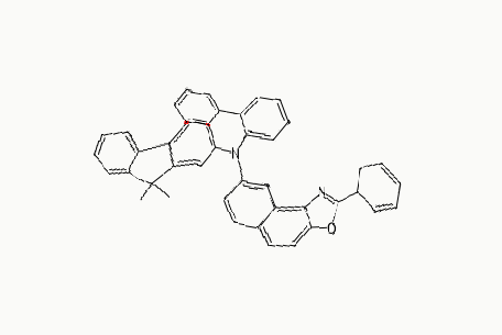 CC1(C)c2ccccc2-c2ccc(N(c3ccc4ccc5oc(C6C=CC=CC6)nc5c4c3)c3ccccc3-c3ccccc3)cc21